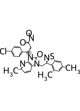 Cc1cc(C)c2c(Cn3c(=O)n([C@H](CC(=O)N=O)c4ccc(Cl)cc4)c4nc(C)ccc43)nsc2c1